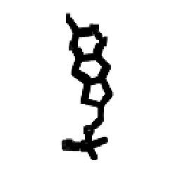 CC(C)(C)[Si](C)(C)OCC1Cc2cc3nnc(I)nc3cc2C1